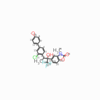 CC(c1ccc(-c2ccc([O])cc2)cc1Cl)C(O)(c1ccc2oc(=O)n(C)c2c1)C(F)(F)F